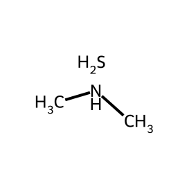 CNC.S